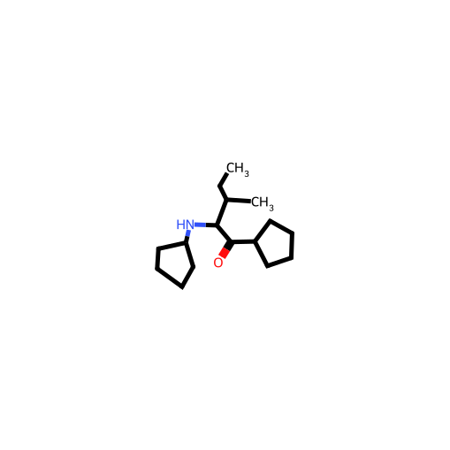 CCC(C)C(NC1CCCC1)C(=O)C1CCCC1